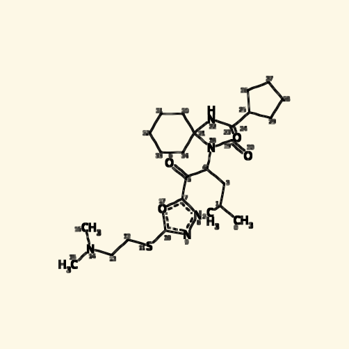 CC(C)CC(C(=O)c1nnc(SCCN(C)C)o1)N(C=O)C1(NC(=O)C2CCCC2)CCCCC1